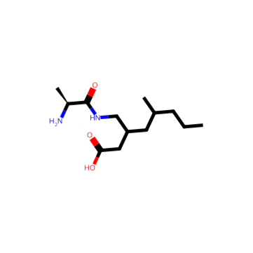 CCCC(C)CC(CNC(=O)[C@H](C)N)CC(=O)O